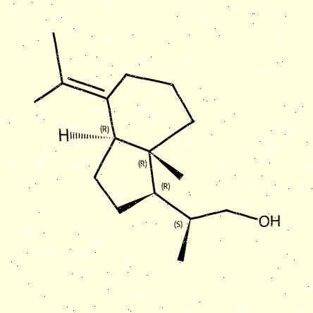 CC(C)=C1CCC[C@]2(C)[C@@H]([C@H](C)CO)CC[C@@H]12